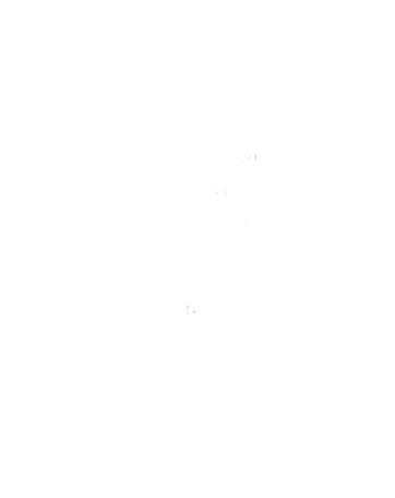 CC(C)(C)OC(=O)c1[c][nH]cc1